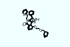 O=C(NCCc1ccccn1)c1cccc(OCCOCc2ccccc2)c1-c1cc(-c2ccccc2)[nH]n1